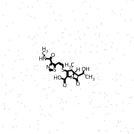 CNC(=O)c1ncsc1/C=C\SC1=C(C(=O)O)N2C(=O)[C@H]([C@@H](C)O)[C@H]2[C@H]1C